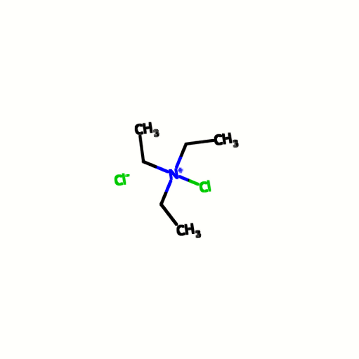 CC[N+](Cl)(CC)CC.[Cl-]